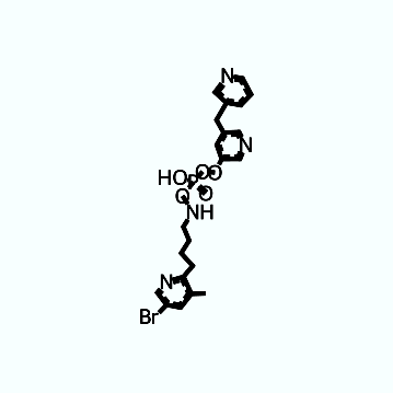 Cc1cc(Br)cnc1CCCCNOP(=O)(O)OOc1cncc(Cc2cccnc2)c1